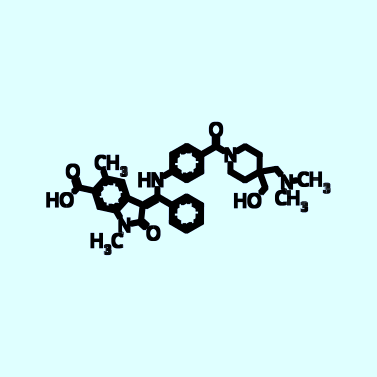 Cc1cc2c(cc1C(=O)O)N(C)C(=O)C2=C(Nc1ccc(C(=O)N2CCC(CO)(CN(C)C)CC2)cc1)c1ccccc1